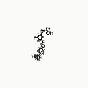 O=C(O)C1CC1c1cc(F)cc(CCOc2ccc(-c3ccn[nH]3)nc2)c1